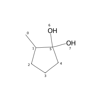 CC1CCCC1(O)O